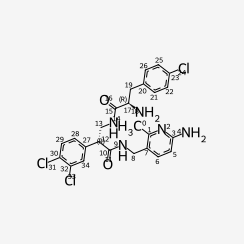 Cc1nc(N)ccc1CNC(=O)[C@@H](CNC(=O)[C@H](N)Cc1ccc(Cl)cc1)c1ccc(Cl)c(Cl)c1